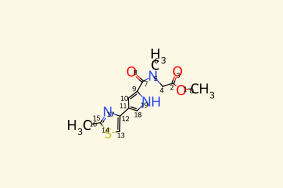 COC(=O)CN(C)C(=O)c1cc(-c2csc(C)n2)c[nH]1